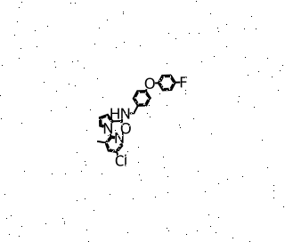 Cc1cc(Cl)cnc1-n1cccc1C(=O)NCc1ccc(Oc2ccc(F)cc2)cc1